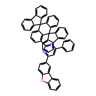 c1ccc(-c2cc(-c3ccc4oc5ccccc5c4c3)nc(-c3cccc4c3C3(c5ccccc5-c5ccccc53)c3ccccc3C43c4ccccc4-c4ccccc43)n2)cc1